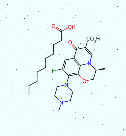 CCCCCCCCCC(=O)O.C[C@H]1COc2c(N3CCN(C)CC3)c(F)cc3c(=O)c(C(=O)O)cn1c23